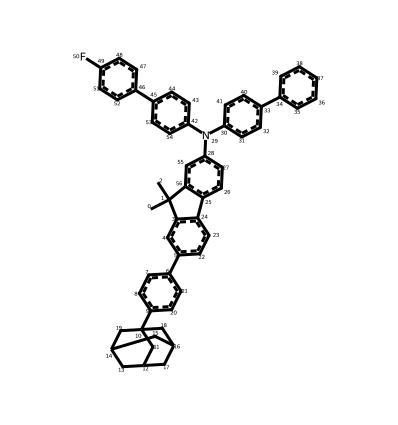 CC1(C)c2cc(-c3ccc(C45CC6CC(CC(C6)C4)C5)cc3)ccc2-c2ccc(N(c3ccc(-c4ccccc4)cc3)c3ccc(-c4ccc(F)cc4)cc3)cc21